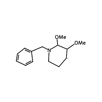 COC1[CH]CCN(Cc2ccccc2)C1OC